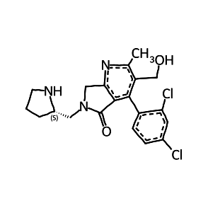 Cc1nc2c(c(-c3ccc(Cl)cc3Cl)c1CO)C(=O)N(C[C@@H]1CCCN1)C2